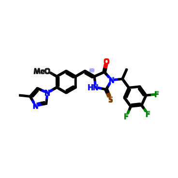 COc1cc(/C=C2\NC(=S)N(C(C)c3cc(F)c(F)c(F)c3)C2=O)ccc1-n1cnc(C)c1